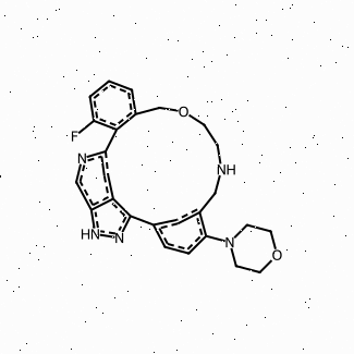 Fc1cccc2c1-c1cc3c(n[nH]c3cn1)-c1ccc(N3CCOCC3)c(c1)CNCCOC2